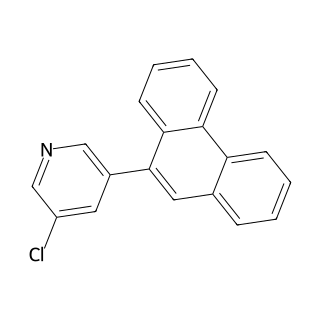 Clc1cncc(-c2cc3ccccc3c3ccccc23)c1